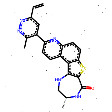 C=Cc1cc(-c2ccc3c(ccc4sc5c(c43)NC[C@@H](C)NC5=O)n2)c(C)nn1